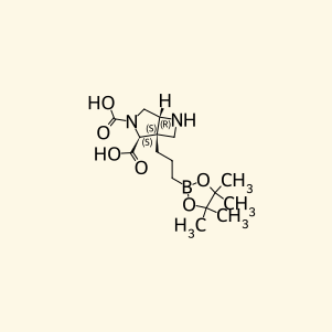 CC1(C)OB(CCC[C@]23CN[C@H]2CN(C(=O)O)[C@@H]3C(=O)O)OC1(C)C